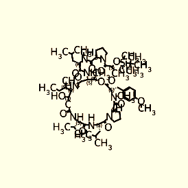 CC[C@H](C)[C@H]1NC(=O)[C@@H](NC(=O)[C@@H](CC(C)C)N(C)C(=O)C2CCCN2C(=O)[C@H](C)O[Si](C)(C)C(C)(C)C)[C@@H](C)OC(=O)[C@H](Cc2ccc(OC)cc2)N(C)C(=O)[C@@H]2CCCN2C(=O)[C@H](CC(C)C)NC(=O)[C@H](C(C)C)NC(=O)C[C@@H]1O